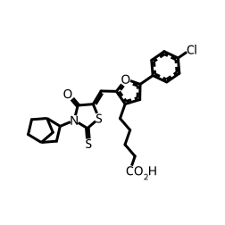 O=C(O)CCCCc1cc(-c2ccc(Cl)cc2)oc1/C=C1\SC(=S)N(C2CC3CCC2C3)C1=O